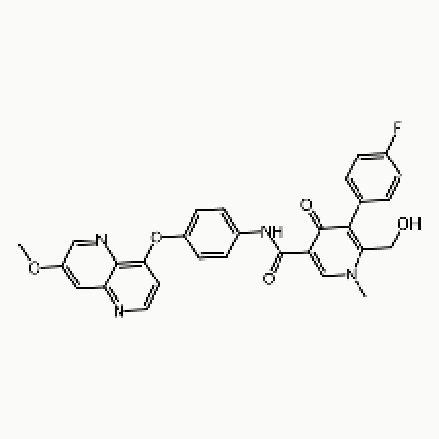 COc1cnc2c(Oc3ccc(NC(=O)c4cn(C)c(CO)c(-c5ccc(F)cc5)c4=O)cc3)ccnc2c1